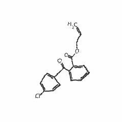 C=CCOC(=O)c1ccccc1C(=O)c1ccc(Cl)cc1